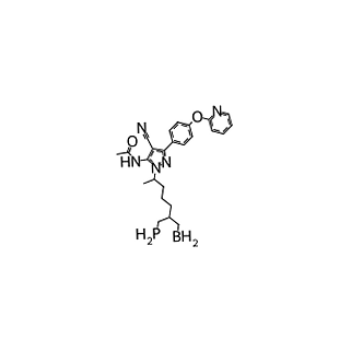 BCC(CP)CCCC(C)n1nc(-c2ccc(Oc3ccccn3)cc2)c(C#N)c1NC(C)=O